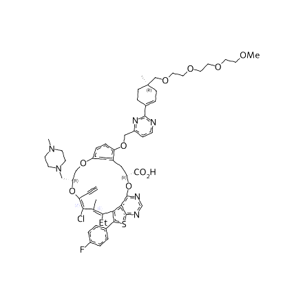 C#C/C1=C(Cl)\C(C)=C(/CC)c2c(-c3ccc(F)cc3)sc3ncnc(c23)O[C@@H](C(=O)O)Cc2cc(ccc2OCc2ccnc(C3=CC[C@](C)(COCCOCCOCCOC)CC3)n2)OC[C@@H](CN2CCN(C)CC2)O1